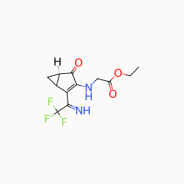 CCOC(=O)CNC1=C(C(=N)C(F)(F)F)C2C[C@H]2C1=O